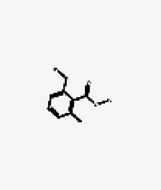 Cc1cccc(CBr)c1C(=O)OBr